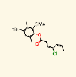 C/C=C\C(Cl)=C/CC(=O)Oc1c(C)cc(C(C)(C)C)c(C)c1SC